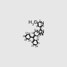 Cc1cncc(-c2nnc3n2CCC(=C(c2ccccc2)c2ccccc2)C3)c1